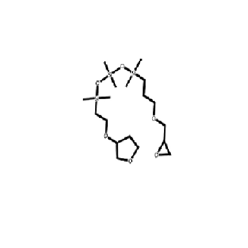 C[Si](C)(CCCOCC1CO1)O[Si](C)(C)O[Si](C)(C)CCOC1CCOC1